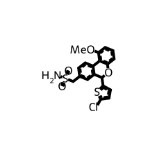 COc1cccc2c1-c1ccc(CS(N)(=O)=O)cc1C(c1ccc(Cl)s1)O2